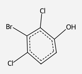 Oc1ccc(Cl)c(Br)c1Cl